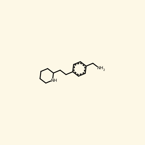 NCc1ccc(CCC2CCCCN2)cc1